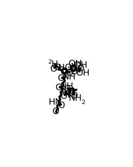 [2H]C(=O)OCc1ccc(O[C@@H]2O[C@H](C(=O)O)[C@@H](O)[C@H](O)[C@H]2O)c(NC(=O)CCNC(=O)C(CCCCNC(=O)CCOC)NC(=O)C(CN)N2C(=O)CC(C)C2=O)c1